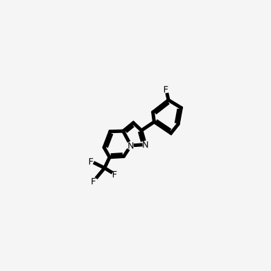 Fc1cccc(-c2cc3ccc(C(F)(F)F)cn3n2)c1